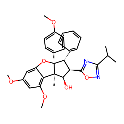 COc1ccc([C@@]23Oc4cc(OC)cc(OC)c4[C@]2(C)[C@H](O)[C@H](c2nc(C(C)C)no2)[C@H]3c2ccccc2)cc1